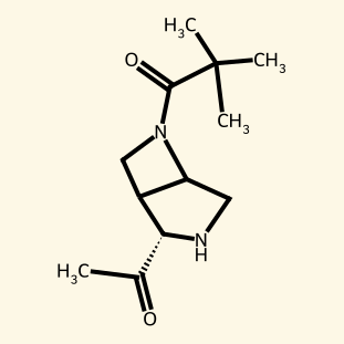 CC(=O)[C@H]1NCC2C1CN2C(=O)C(C)(C)C